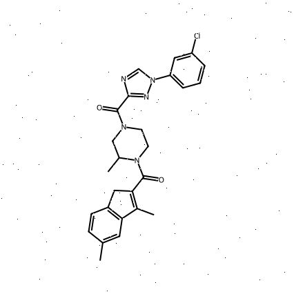 CC1=C(C(=O)N2CCN(C(=O)c3ncn(-c4cccc(Cl)c4)n3)CC2C)Cc2ccc(C)cc21